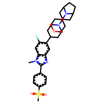 Cn1c(-c2ccc(S(C)(=O)=O)cc2)nc2cc(C3CCN(C4CC5CCC(C4)N5C4CCOCC4)CC3)c(F)cc21